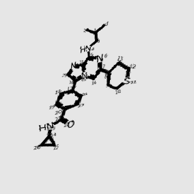 CC(C)CNc1nc(C2=CCSCC2)cn2c(-c3ccc(C(=O)NC4CC4)cc3)cnc12